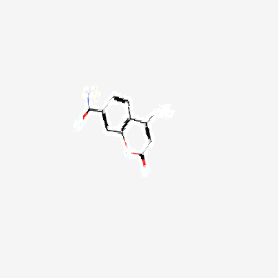 NC(=O)c1ccc2c(C(F)(F)F)cc(=O)oc2c1